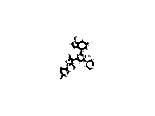 Cc1ccc(-n2nc(C)c(-c3cc(N4CCOC[C@H]4C)nc(-c4cc(F)cc5c4ccn5C)n3)c2C)cn1